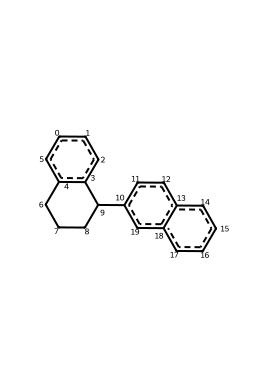 c1ccc2c(c1)CCCC2c1ccc2ccccc2c1